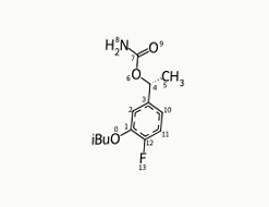 CC(C)COc1cc([C@@H](C)OC(N)=O)ccc1F